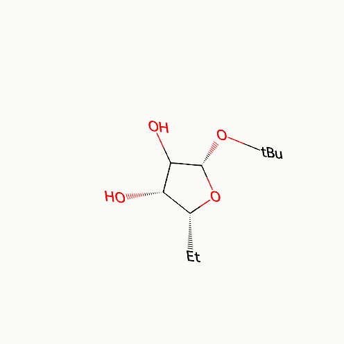 CC[C@H]1O[C@@H](OC(C)(C)C)C(O)[C@H]1O